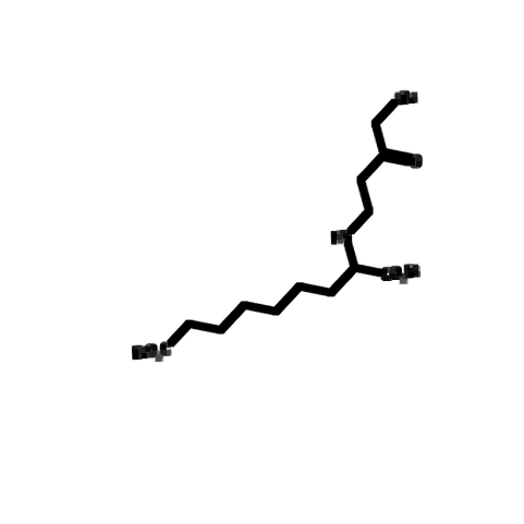 CCOC(=O)CCCCCCC(NCCC(=O)CC(C)(C)C)C(=O)OCC